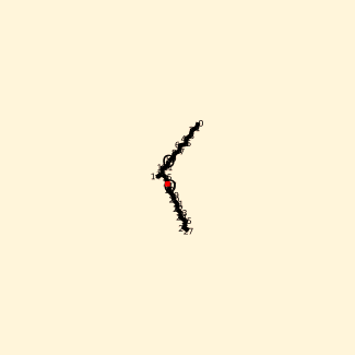 CCCCCCCCCCOCCC(C)CCOCCCCCCCCCC